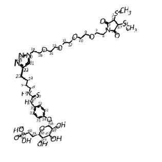 CSC1C(=O)N(CCOCCOCCOCCOCCn2cc(CCCCNC(=S)Nc3ccc(O[C@H]4O[C@H](CCP(=O)(O)O)[C@@H](O)[C@H](O)[C@@H]4O)cc3)nn2)C(=O)C1SC